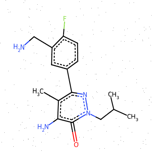 Cc1c(-c2ccc(F)c(CN)c2)nn(CC(C)C)c(=O)c1N